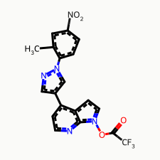 Cc1cc([N+](=O)[O-])ccc1-n1cc(-c2ccnc3c2ccn3OC(=O)C(F)(F)F)cn1